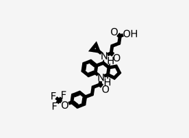 O=C(O)CCC(=O)N(C1CC1)[C@H]1c2ccccc2N(C(=O)CCc2ccc(OC(F)(F)F)cc2)[C@@H]2CCC[C@@H]21